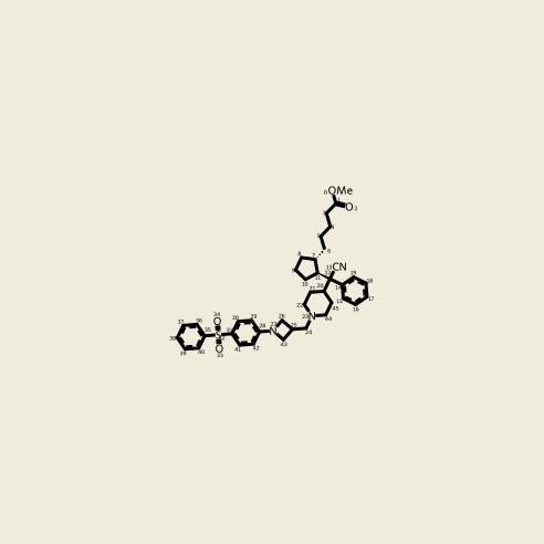 COC(=O)CCCC[C@H]1CCC[C@@H]1C(C#N)(c1ccccc1)C1CCN(CC2CN(c3ccc(S(=O)(=O)c4ccccc4)cc3)C2)CC1